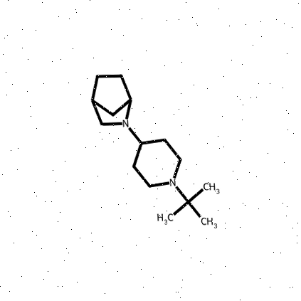 CC(C)(C)N1CCC(N2CC3CCC2C3)CC1